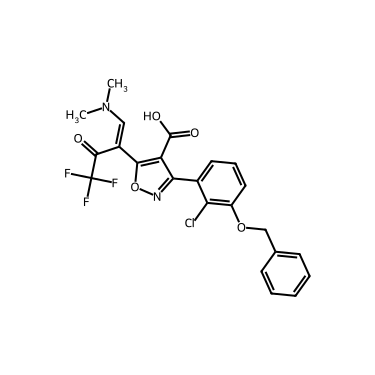 CN(C)C=C(C(=O)C(F)(F)F)c1onc(-c2cccc(OCc3ccccc3)c2Cl)c1C(=O)O